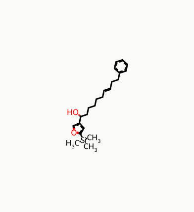 C[Si](C)(C)c1cc(C(O)CCCCC/C=C/CCc2ccccc2)co1